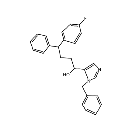 OC(CCC(c1ccccc1)c1ccc(F)cc1)c1cncn1Cc1ccccc1